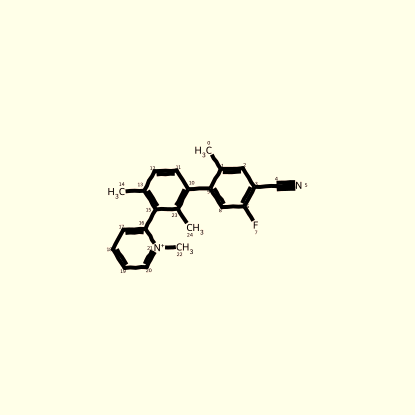 Cc1cc(C#N)c(F)cc1-c1ccc(C)c(-c2cccc[n+]2C)c1C